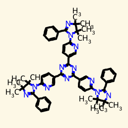 CC1(C)N=C(c2ccccc2)N(c2ccc(-c3nc(-c4ccc(N5C(c6ccccc6)=NC(C)(C)C5(C)C)nc4)nc(-c4ccc(N5C(c6ccccc6)=NC(C)(C)C5(C)C)nc4)n3)cn2)C1(C)C